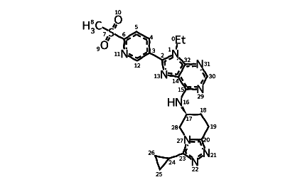 CCn1c(-c2ccc(S(C)(=O)=O)nc2)nc2c(N[C@H]3CCc4nnc(C5CC5)n4C3)ncnc21